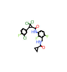 O=C(NCc1c(F)ccc(NC(=O)C2C(c3ccc(F)c(Cl)c3)C2(Cl)Cl)c1F)C1CC1